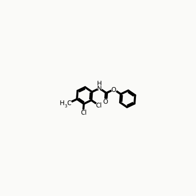 Cc1ccc(NC(=O)Oc2ccccc2)c(Cl)c1Cl